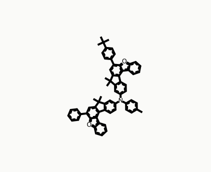 Cc1ccc(N(c2ccc3c(c2)C(C)(C)c2cc(-c4ccccc4)c4oc5ccccc5c4c2-3)c2ccc3c(c2)C(C)(C)c2cc(-c4ccc(C(C)(C)C)cc4)c4oc5ccccc5c4c2-3)cc1